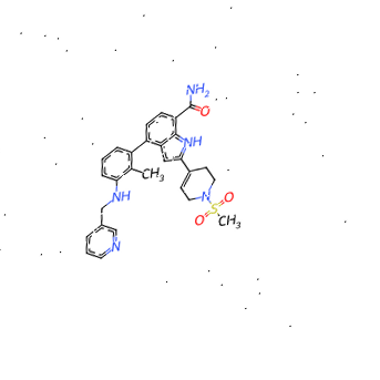 Cc1c(NCc2cccnc2)cccc1-c1ccc(C(N)=O)c2[nH]c(C3=CCN(S(C)(=O)=O)CC3)cc12